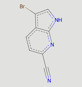 N#Cc1ccc2c(Br)c[nH]c2n1